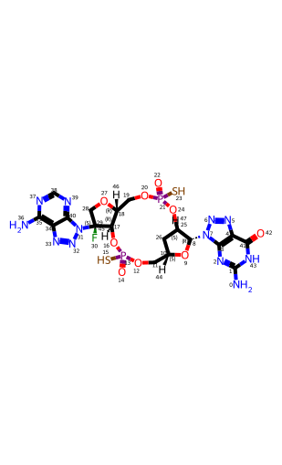 Nc1nc2c(nnn2[C@@H]2O[C@@H]3COP(=O)(S)O[C@@H]4[C@@H](COP(=O)(S)O[C@H]2C3)OC[C@@]4(F)n2nnc3c(N)ncnc32)c(=O)[nH]1